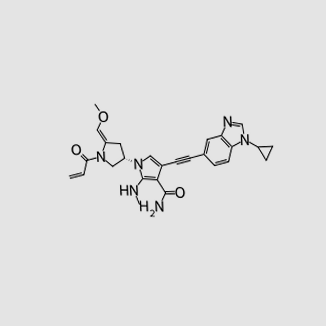 C=CC(=O)N1C[C@@H](n2cc(C#Cc3ccc4c(c3)ncn4C3CC3)c(C(N)=O)c2NC)C/C1=C\OC